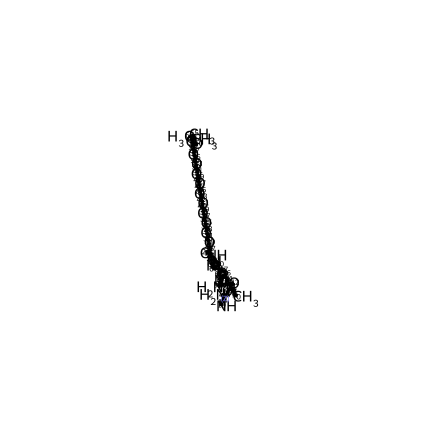 CCCN(OC/C(N)=C/C=N)C(=O)C1=Cc2ccc(-c3cnc(CNC(=O)CCOCCOCCOCCOCCOCCOCCOCCOCCOCCOCCC(=O)OC(C)(C)C)nc3)cc2N=C(N)C1